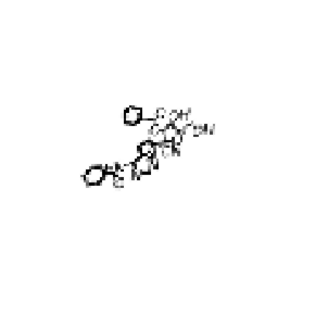 N#C[C@@]1(c2ccc3c(NC(=O)c4ccccc4)ncnn23)O[C@H](CO)C(O)C1OC(=O)c1ccccc1